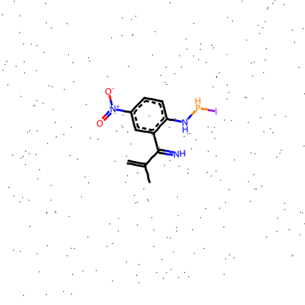 C=C(C)C(=N)c1cc([N+](=O)[O-])ccc1NPI